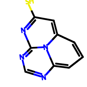 SC1=NC2=NC=NC3=CC=CC(=C1)N32